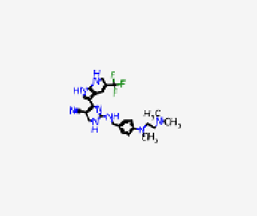 CN(C)CCN(C)c1ccc(CNC2=NC(c3c[nH]c4c3C=C(C(F)(F)F)CN4)=C(C#N)CN2)cc1